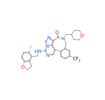 O=C1c2ncn3c(NCc4c(F)ccc5c4CCO5)ncc(c23)-c2ccc(C(F)(F)F)cc2CN1CC1CCOCC1